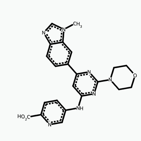 Cn1cnc2ccc(-c3cc(Nc4ccc(C(=O)O)nc4)nc(N4CCOCC4)n3)cc21